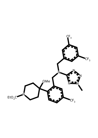 CCOC(=O)N1CCC(OC)(c2ccc(C(F)(F)F)cc2CN(Cc2cc(C(F)(F)F)cc(C(F)(F)F)c2)c2nnn(C)n2)CC1